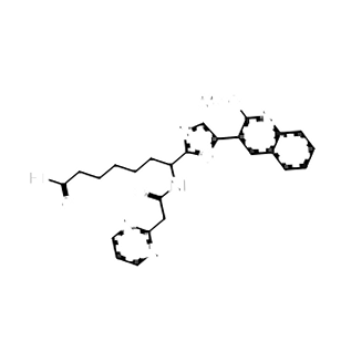 CCC(=O)CCCCCC(NC(=O)Cc1ncccn1)c1ncc(-c2cc3ccccc3nc2OC)o1